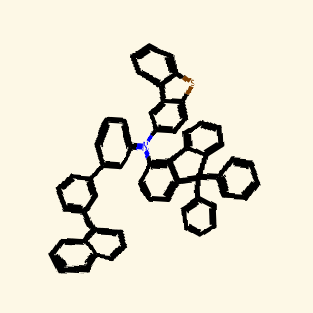 c1ccc(C2(c3ccccc3)c3ccccc3-c3c(N(c4cccc(-c5cccc(-c6cccc7ccccc67)c5)c4)c4ccc5sc6ccccc6c5c4)cccc32)cc1